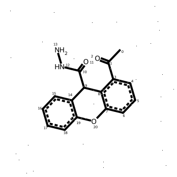 CC(=O)c1cccc2c1C(C(=O)NN)c1ccccc1O2